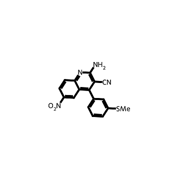 CSc1cccc(-c2c(C#N)c(N)nc3ccc([N+](=O)[O-])cc23)c1